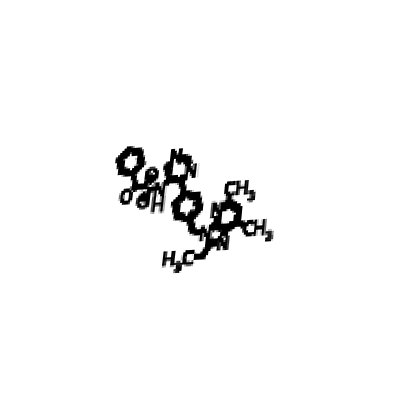 CCc1nc2c(C)cc(C)nc2n1Cc1ccc(-c2ncncc2NS(=O)(=O)C(=O)c2ccccc2)cc1